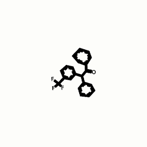 O=C(c1ccccc1)C(c1ccccc1)c1cccc(C(F)(F)F)c1